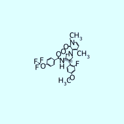 CCn1ccc(C)c(N2C[C@@H](c3ccc(OC)cc3F)[C@H](NC(=O)c3ccc(OC(F)(F)F)cc3)C2=O)c1=O